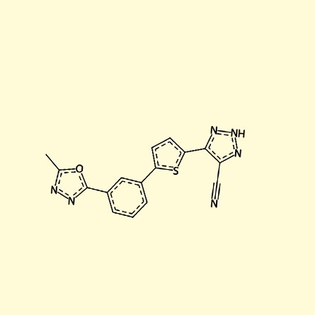 Cc1nnc(-c2cccc(-c3ccc(-c4n[nH]nc4C#N)s3)c2)o1